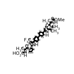 COC(=O)N[C@@H](C)C(=O)N(C)[C@@H](C)c1ncc(-c2ccc(-c3ccc(-c4[nH]c([C@@H]5CCCN5C(=O)[C@H](C)NC(=O)O)nc4C(F)(F)F)cc3)cc2)[nH]1